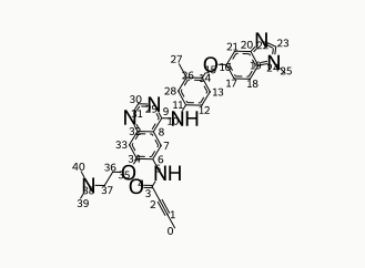 CC#CC(=O)Nc1cc2c(Nc3ccc(Oc4ccc5c(c4)ncn5C)c(C)c3)ncnc2cc1OCCN(C)C